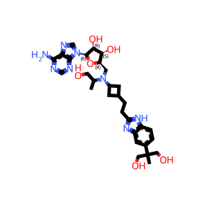 CC(CO)N(C[C@H]1O[C@@H](n2cnc3c(N)ncnc32)[C@H](O)[C@@H]1O)C1CC(CCc2nc3cc(C(C)(CO)CO)ccc3[nH]2)C1